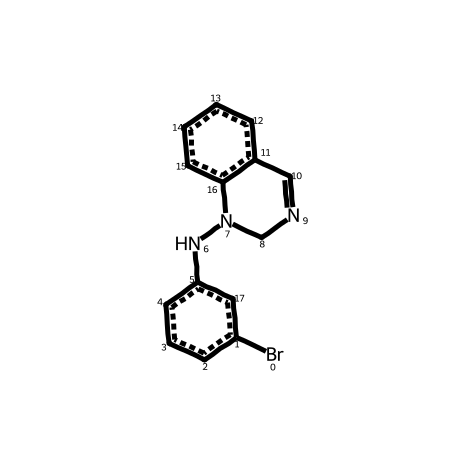 Brc1cccc(NN2CN=Cc3ccccc32)c1